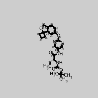 CC[C@@H](NC(=O)OC(C)(C)C)C(=O)Nc1cnc(Oc2ccc3c(c2)C2(CCC2)OC3)nc1